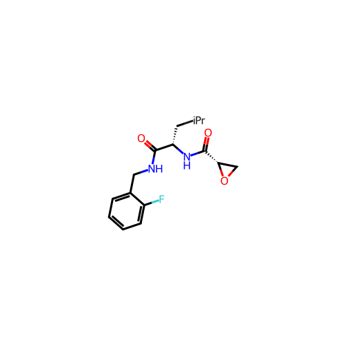 CC(C)C[C@H](NC(=O)[C@@H]1CO1)C(=O)NCc1ccccc1F